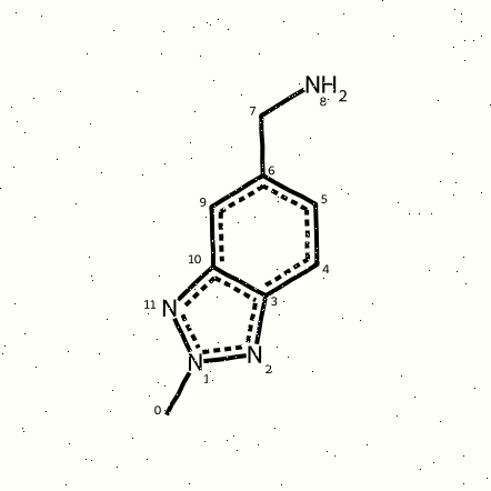 Cn1nc2ccc(CN)cc2n1